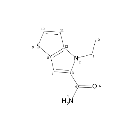 CCn1c(C(N)=O)cc2sccc21